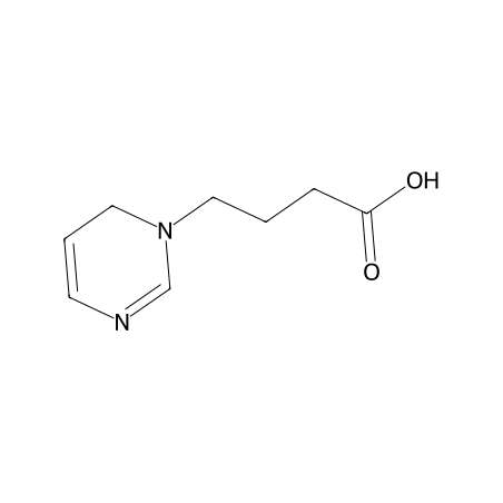 O=C(O)CCCN1C=NC=CC1